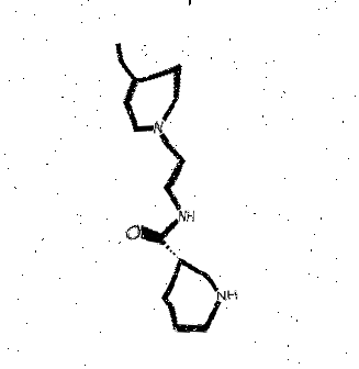 CC1CCN(CCNC(=O)[C@H]2CCCNC2)CC1